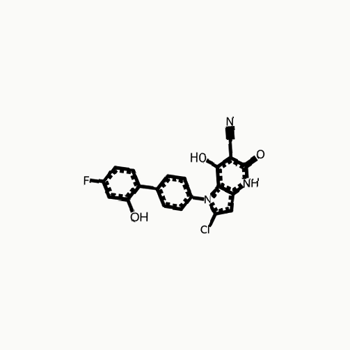 N#Cc1c(O)c2c(cc(Cl)n2-c2ccc(-c3ccc(F)cc3O)cc2)[nH]c1=O